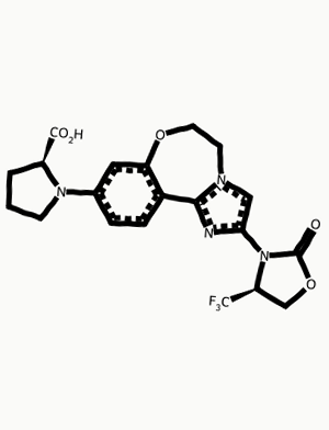 O=C(O)[C@@H]1CCCN1c1ccc2c(c1)OCCn1cc(N3C(=O)OC[C@H]3C(F)(F)F)nc1-2